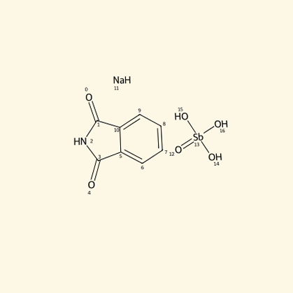 O=C1NC(=O)c2ccccc21.[NaH].[O]=[Sb]([OH])([OH])[OH]